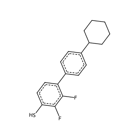 Fc1c(S)ccc(-c2ccc(C3CCCCC3)cc2)c1F